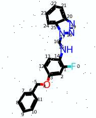 Fc1cc(OCc2ccccc2)ccc1NCn1nnc2ccccc21